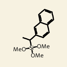 CO[Si](OC)(OC)C(C)c1ccc2ccccc2c1